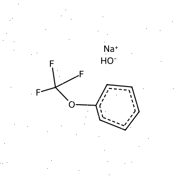 FC(F)(F)Oc1ccccc1.[Na+].[OH-]